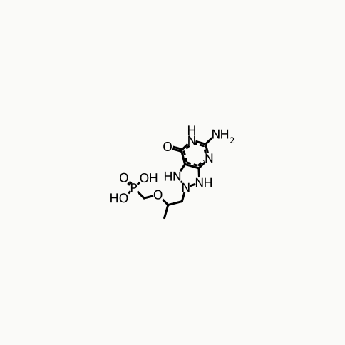 CC(CN1Nc2nc(N)[nH]c(=O)c2N1)OCP(=O)(O)O